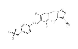 Cc1c(C#N)ncn1Cc1cc(F)c(COc2ccc(OS(=O)(=O)F)cc2)c(F)c1